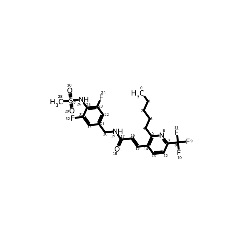 CCCCCc1nc(C(F)(F)F)ccc1C=CC(=O)NCc1cc(F)c(NS(C)(=O)=O)c(F)c1